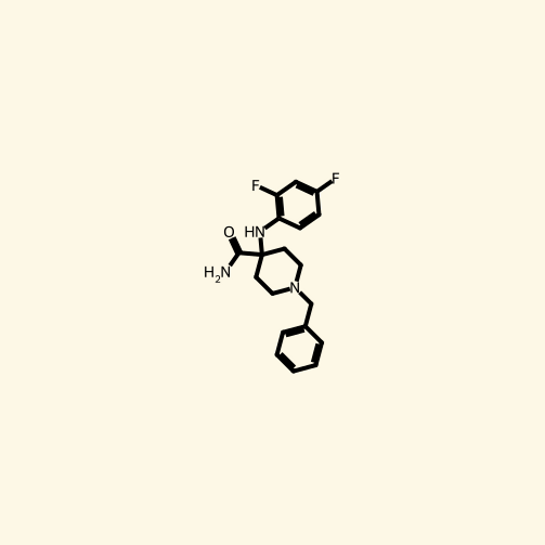 NC(=O)C1(Nc2ccc(F)cc2F)CCN(Cc2ccccc2)CC1